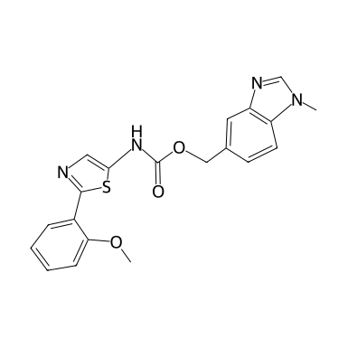 COc1ccccc1-c1ncc(NC(=O)OCc2ccc3c(c2)ncn3C)s1